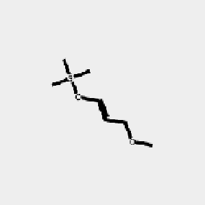 COCC=CO[Si](C)(C)C